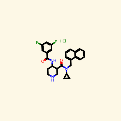 Cl.O=C(NC1CCNCC1C(=O)N(Cc1cccc2ccccc12)C1CC1)c1cc(F)cc(F)c1